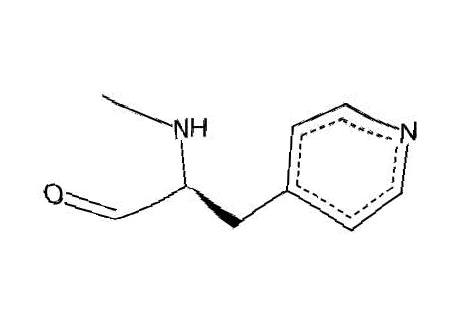 CN[C@H](C=O)Cc1ccncc1